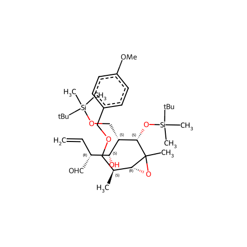 C=C[C@@H](C=O)[C@@H](O)[C@H](CO[Si](C)(C)C(C)(C)C)[C@H](O[Si](C)(C)C(C)(C)C)C1(C)O[C@@H]1[C@@H](C)COCc1ccc(OC)cc1